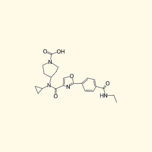 CCNC(=O)c1ccc(-c2nc(C(=O)N(C3CC3)C3CCN(C(=O)O)CC3)co2)cc1